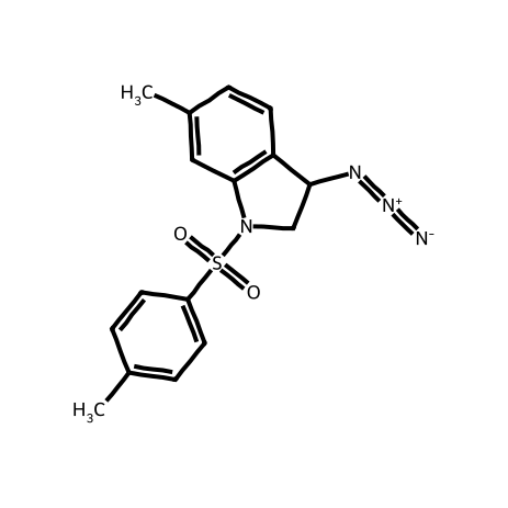 Cc1ccc(S(=O)(=O)N2CC(N=[N+]=[N-])c3ccc(C)cc32)cc1